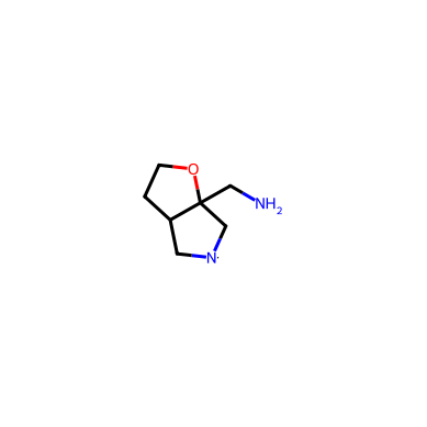 NCC12C[N]CC1CCO2